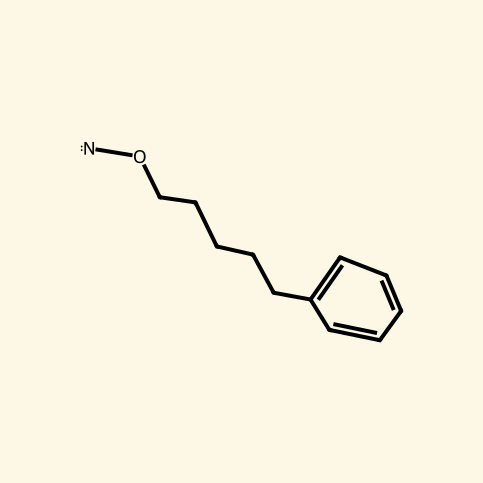 [N]OCCCCCc1ccccc1